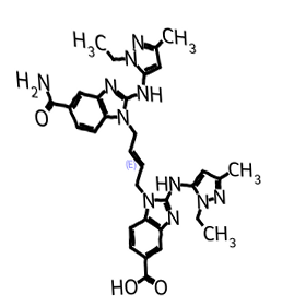 CCn1nc(C)cc1Nc1nc2cc(C(N)=O)ccc2n1C/C=C/Cn1c(Nc2cc(C)nn2CC)nc2cc(C(=O)O)ccc21